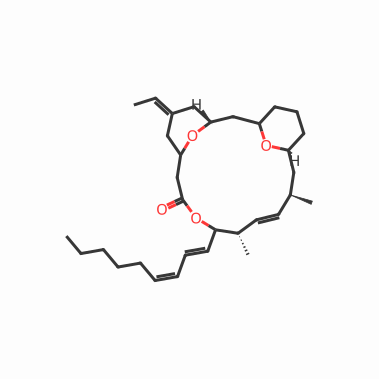 C/C=C1\CC2CC(=O)OC(/C=C/C=C\CCCCC)[C@@H](C)/C=C/[C@H](C)C[C@H]3CCCC(C[C@@H](C1)O2)O3